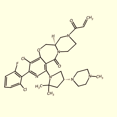 C=CC(=O)N1CCN2C(=O)c3c(N4C[C@H](N5CCN(C)CC5)CC4(C)C)nc(-c4c(F)cccc4Cl)c(Cl)c3OC[C@H]2C1